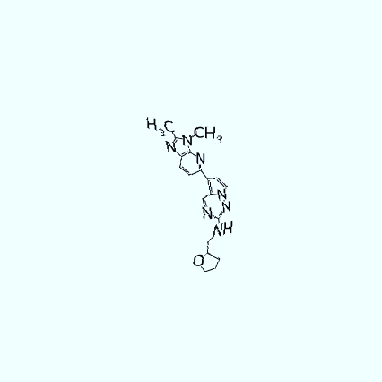 Cc1nc2ccc(-c3ccn4nc(NCC5CCCO5)ncc34)nc2n1C